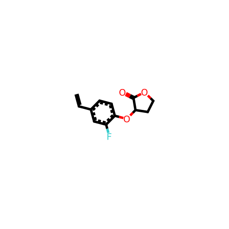 C=Cc1ccc(OC2CCOC2=O)c(F)c1